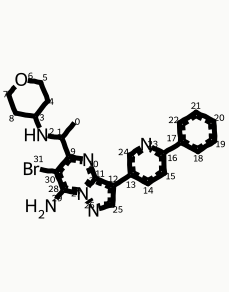 CC(NC1CCOCC1)c1nc2c(-c3ccc(-c4ccccc4)nc3)cnn2c(N)c1Br